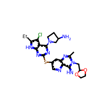 CCc1[nH]c2nc(Sc3cnc4c(=N)n(CC5OCCO5)c(C)nc4c3)nc(N3CCC(N)C3)c2c1Cl